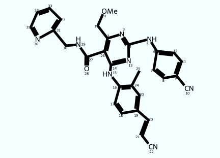 COCc1nc(Nc2ccc(C#N)cc2)nc(Nc2ccc(/C=C/C#N)cc2C)c1C(=O)NCc1ccccn1